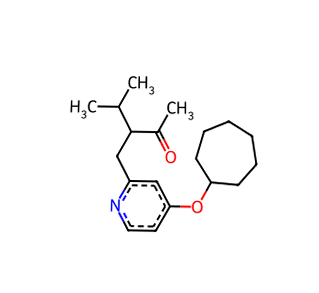 CC(=O)C(Cc1cc(OC2CCCCCC2)ccn1)C(C)C